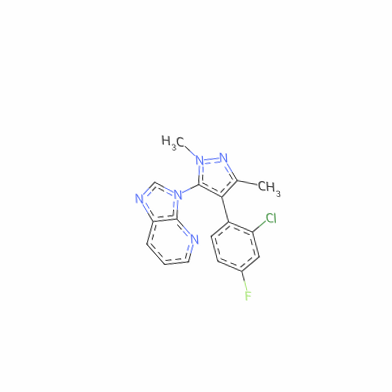 Cc1nn(C)c(-n2cnc3cccnc32)c1-c1ccc(F)cc1Cl